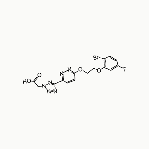 O=C(O)Cn1nnc(-c2ccc(OCCOc3cc(F)ccc3Br)nn2)n1